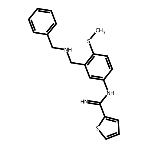 CSc1ccc(NC(=N)c2cccs2)cc1CNCc1ccccc1